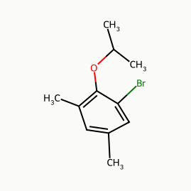 Cc1cc(C)c(OC(C)C)c(Br)c1